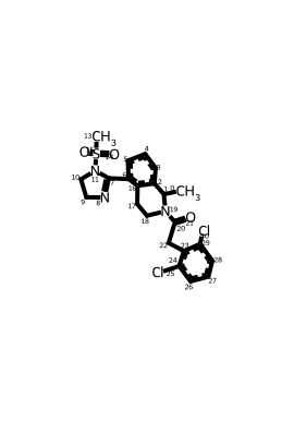 CC1c2cccc(C3=NCCN3S(C)(=O)=O)c2CCN1C(=O)Cc1c(Cl)cccc1Cl